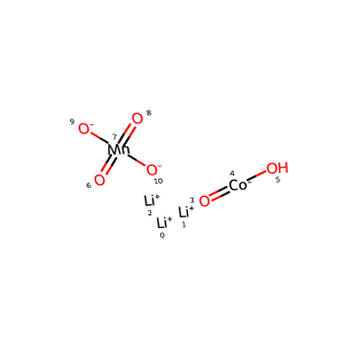 [Li+].[Li+].[Li+].[O]=[Co-][OH].[O]=[Mn](=[O])([O-])[O-]